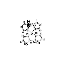 c1c[nH]c(C2(c3ccc[nH]3)c3ccsc3-c3sccc32)c1